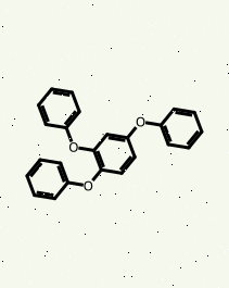 [c]1c(Oc2ccccc2)ccc(Oc2ccccc2)c1Oc1ccccc1